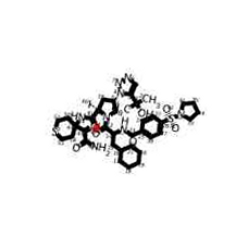 CC(C)(O)c1cnnn1[C@@H]1CN(C(=O)C(CC2CCCCC2)NC(=O)c2ccc(S(=O)(=O)N3CCCC3)cc2)[C@@](I)(C(=O)NC2(C(=O)C(N)=O)CCSCC2)C1